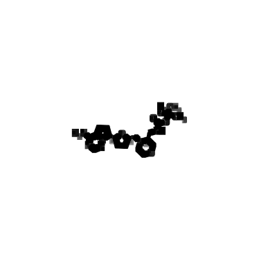 CC(C)(C)OC(=O)NC[C@@H]1COCCN1C[C@@H]1CC[C@H](c2ccc3c(N)ncnn23)O1